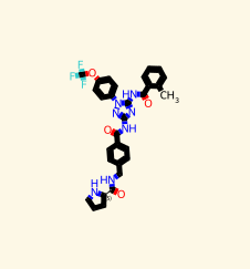 Cc1ccccc1C(=O)Nc1nc(NC(=O)c2ccc(CNC(=O)[C@@H]3CCCN3)cc2)nn1-c1ccc(OC(F)(F)F)cc1